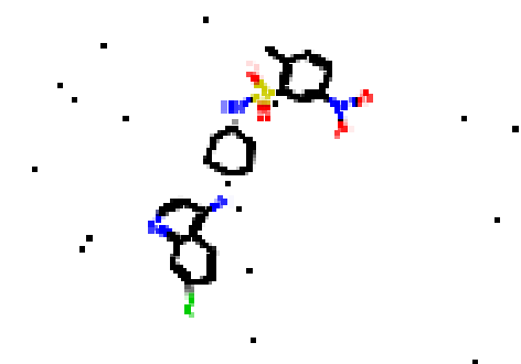 Cc1ccc([N+](=O)[O-])cc1S(=O)(=O)N[C@H]1CC[C@@H](Nc2ccnc3cc(Cl)ccc23)CC1